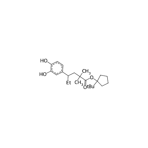 CCC(CC(C)(C)C(=O)OC1(C(C)(C)C)CCCC1)c1ccc(O)c(O)c1